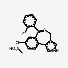 CS(=O)(=O)O.Clc1ccc2c(c1)C(c1ccccc1Cl)=NCc1c[nH]cc1-2